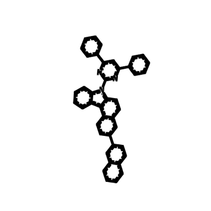 c1ccc(-c2cc(-c3ccccc3)nc(-n3c4ccccc4c4c5ccc(-c6ccc7ccccc7c6)cc5ccc43)n2)cc1